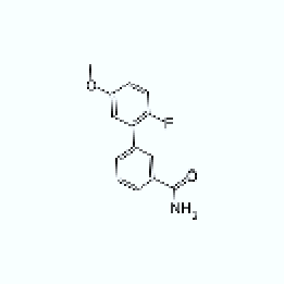 COc1ccc(F)c(-c2cccc(C(N)=O)c2)c1